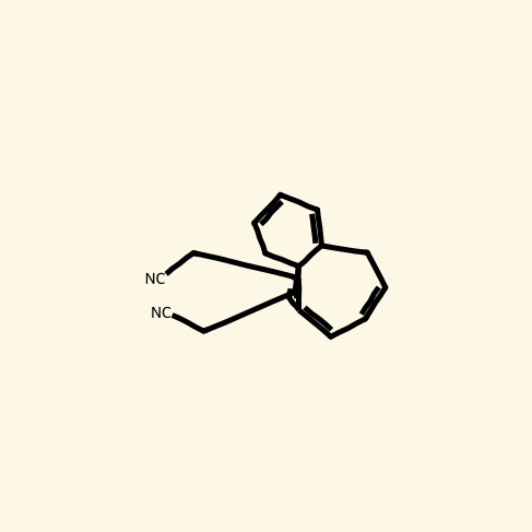 N#CCC1=CC2=CC=CCC3=CC=CCC23C=C1CC#N